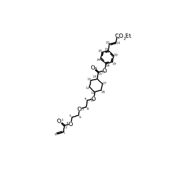 C=CC(=O)OCCOCCOC1CCC(C(=O)Oc2ccc(/C=C/C(=O)OCC)cc2)CC1